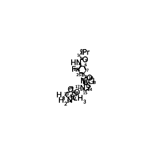 CC(C)CC(=O)Nc1ccc(C(=O)/N=c2\sccn2COC(=O)C(C)(C)N)cc1F.Cl